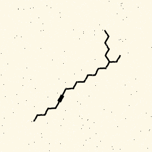 [CH2]CCCCC#CCCCCCCCCC(CC)CCCC[CH2]